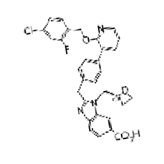 O=C(O)c1ccc2nc(Cc3ccc(-c4cccnc4OCc4ccc(Cl)cc4F)cc3)n(C[C@@H]3CCO3)c2c1